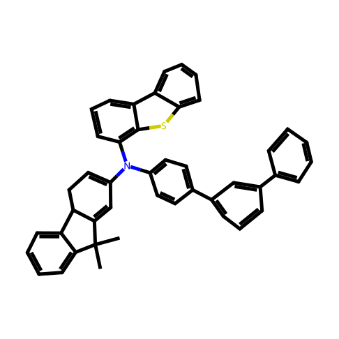 CC1(C)C2=CC(N(c3ccc(-c4cccc(-c5ccccc5)c4)cc3)c3cccc4c3sc3ccccc34)=CCC2c2ccccc21